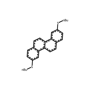 CCCCSc1ccc2ccc3c4cc(SCCCC)ccc4ccc3c2c1